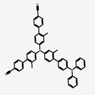 Cc1cc(N(c2ccc(-c3ccc(C#N)cc3)c(C)c2)c2ccc(-c3ccc(N(c4ccccc4)c4ccccc4)cc3)c(C)c2)ccc1-c1ccc(C#N)cc1